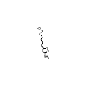 Nc1nnc(SCCSOOO)s1